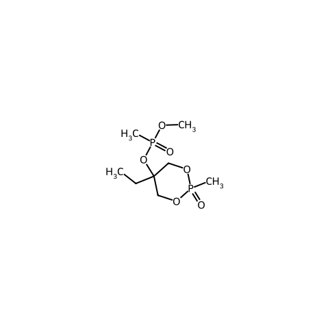 CCC1(OP(C)(=O)OC)COP(C)(=O)OC1